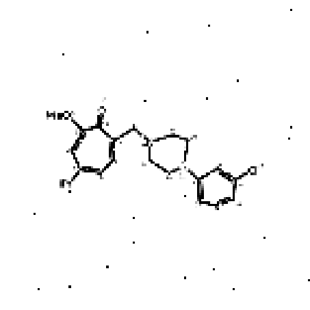 COc1cc(C(C)C)ccc(CN2CCN(c3cccc(Cl)c3)CC2)c1=O